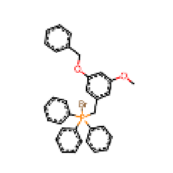 COc1cc(CP(Br)(c2ccccc2)(c2ccccc2)c2ccccc2)cc(OCc2ccccc2)c1